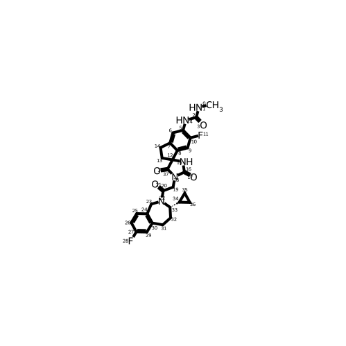 CNC(=O)Nc1cc2c(cc1F)C1(CC2)NC(=O)N(CC(=O)N2Cc3ccc(F)cc3CC[C@H]2C2CC2)C1=O